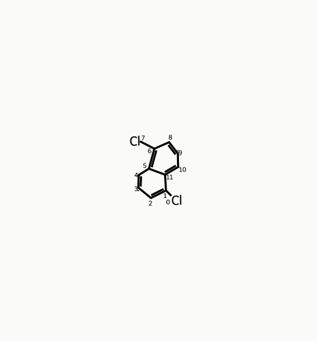 Clc1c[c]cc2c(Cl)c[c]cc12